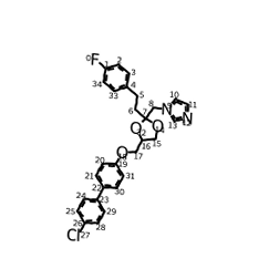 Fc1ccc(CCC2(Cn3ccnc3)OCC(COc3ccc(-c4ccc(Cl)cc4)cc3)O2)cc1